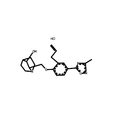 C=CCc1cc(-c2nc(C)no2)ccc1OCC1C(O)C2CCN1CC2.Cl